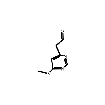 CSc1cc(CC=O)ncn1